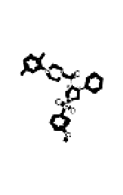 COc1cccc(S(=O)(=O)N2C[C@H](C(=O)N3CCN(c4cc(C)ccc4C)CC3)[C@@H](c3ccccc3)C2)c1